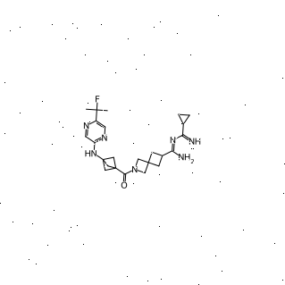 CC(C)(F)c1cnc(NC23CC(C(=O)N4CC5(CC(/C(N)=N/C(=N)C6CC6)C5)C4)(C2)C3)cn1